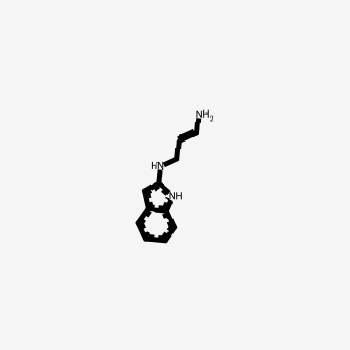 NC=CCNc1cc2ccccc2[nH]1